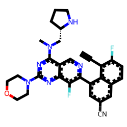 C#Cc1c(F)ccc2cc(C#N)cc(-c3ncc4c(N(C)C[C@@H]5CCCN5)nc(N5CCOCC5)nc4c3F)c12